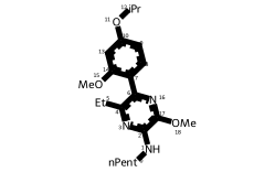 CCCCCNc1nc(CC)c(-c2ccc(OC(C)C)cc2OC)nc1OC